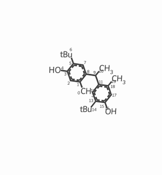 Cc1cc(O)c(C(C)(C)C)cc1C(C)c1cc(C(C)(C)C)c(O)cc1C